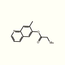 Cc1cc2ncccc2cc1OC(=O)CC(C)(C)C